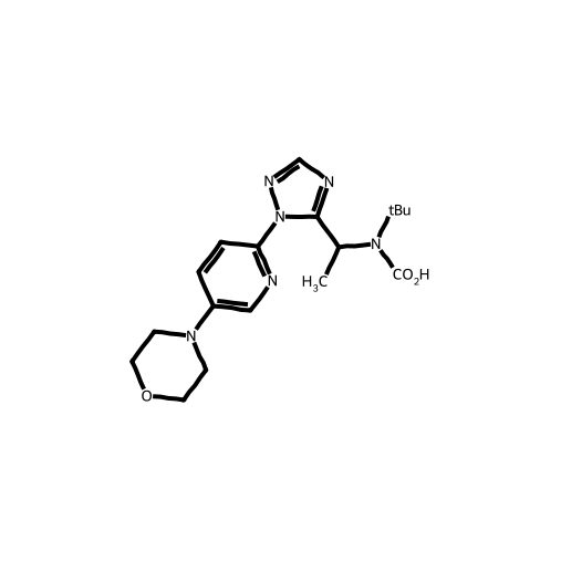 CC(c1ncnn1-c1ccc(N2CCOCC2)cn1)N(C(=O)O)C(C)(C)C